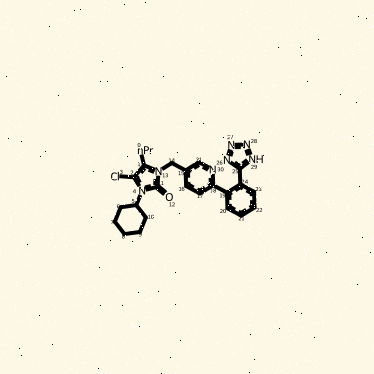 CCCc1c(Cl)n(C2CCCCC2)c(=O)n1Cc1ccc(-c2ccccc2-c2nnn[nH]2)nc1